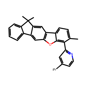 Cc1ccc2c(oc3cc4c(cc32)C(C)(C)c2ccccc2-4)c1-c1cc(C(C)C)ccn1